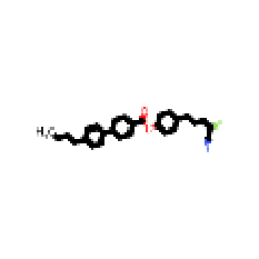 CCCCc1ccc(C2CCC(C(=O)OC3CCC(CC/C=C(/F)C#N)CC3)CC2)cc1